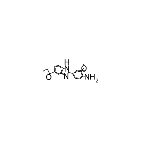 CCC(=O)c1ccc2[nH]c(-c3ccc(N)c(OC)c3)nc2c1